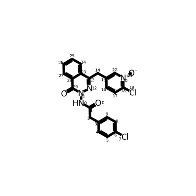 O=C(Cc1ccc(Cl)cc1)Nn1nc(Cc2ccc(Cl)[n+]([O-])c2)c2ccccc2c1=O